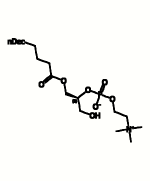 CCCCCCCCCCCCCC(=O)OC[C@H](CO)OP(=O)([O-])OCC[N+](C)(C)C